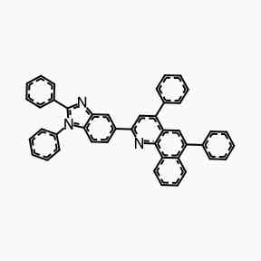 c1ccc(-c2cc3c(-c4ccccc4)cc(-c4ccc5c(c4)nc(-c4ccccc4)n5-c4ccccc4)nc3c3ccccc23)cc1